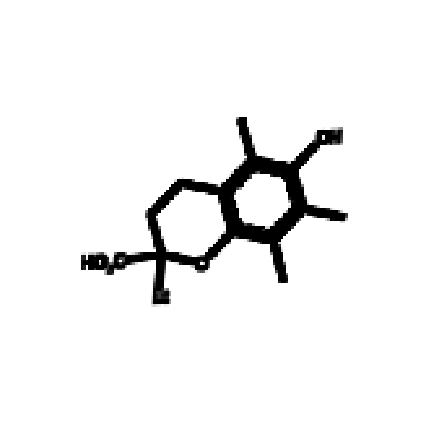 CCC1(C(=O)O)CCc2c(C)c(O)c(C)c(C)c2O1